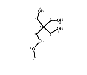 COOCC(CO)(CO)CO